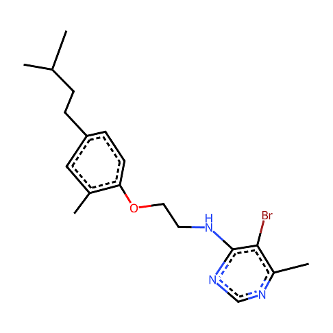 Cc1cc(CCC(C)C)ccc1OCCNc1ncnc(C)c1Br